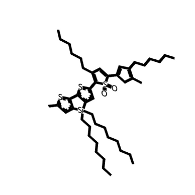 CCCCCCCC[Si]1(CCCCCCCC)c2cc(C)sc2-c2sc(C3=C(CCCCCC)C=C(C4=CC(CCCCCC)=C(C)C4)S3(=O)=O)cc21